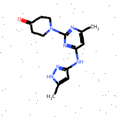 Cc1cc(Nc2cc(C)[nH]n2)nc(N2CCC(=O)CC2)n1